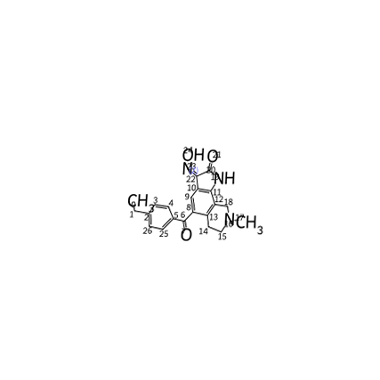 CCc1ccc(C(=O)c2cc3c(c4c2CCN(C)C4)NC(=O)/C3=N\O)cc1